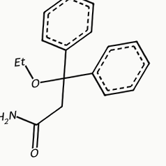 CCOC(CC(N)=O)(c1ccccc1)c1ccccc1